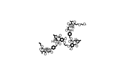 C=CCOC(=O)N[C@H](C(=O)N[C@@H](C)C(=O)Nc1ccc(COC(=O)N2c3cc(OCCCOc4cc5c(cc4OC)C(=O)N4CC(=C)C[C@H]4CN5C(=O)OCc4ccc(NC(=O)[C@H](C)NC(=O)[C@@H](NC(=O)CCOCCOC)C(C)C)cc4)c(OC)cc3C(=O)N3CC(=C)C[C@H]3[C@@H]2O)cc1)C(C)C